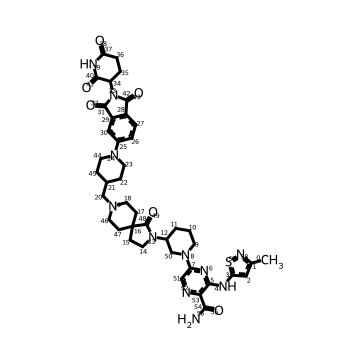 Cc1cc(Nc2nc(N3CCCC(N4CCC5(CCN(CC6CCN(c7ccc8c(c7)C(=O)N(C7CCC(=O)NC7=O)C8=O)CC6)CC5)C4=O)C3)cnc2C(N)=O)sn1